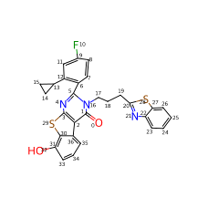 O=c1c2c(nc(-c3ccc(F)cc3C3CC3)n1CCCc1nc3ccccc3s1)sc1c(O)cccc12